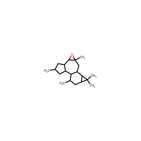 CC1CC2C(C1)C1OC1(C)CC1C2C(C)CC2C1C2(C)C